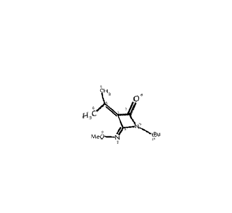 CO/N=C1\C(=C(C)C)C(=O)N1C(C)(C)C